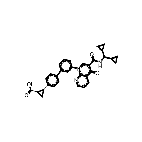 O=C(NC(C1CC1)C1CC1)c1cn(-c2cccc(-c3ccc([C@@H]4C[C@H]4C(=O)O)cc3)c2)c2ncccc2c1=O